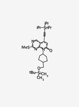 CSc1ncc2c(C#C[Si](C(C)C)(C(C)C)C(C)C)cc(=O)n(C3CCC(CO[Si](C)(C)C(C)(C)C)CC3)c2n1